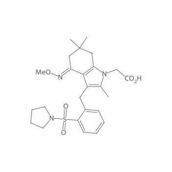 CON=C1CC(C)(C)Cc2c1c(Cc1ccccc1S(=O)(=O)N1CCCC1)c(C)n2CC(=O)O